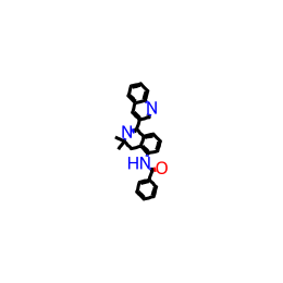 CC1(C)Cc2c(NC(=O)c3ccccc3)cccc2C(c2cnc3ccccc3c2)=N1